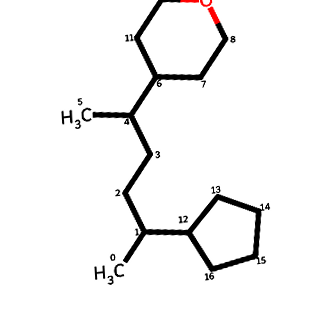 CC(CCC(C)C1CCOCC1)C1CCCC1